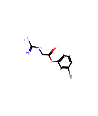 N=C(N)NCC(=O)Oc1cccc(Br)c1